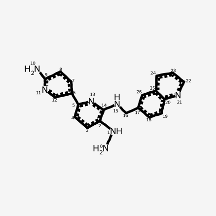 NNc1ccc(-c2ccc(N)nc2)nc1NCc1ccc2ncccc2c1